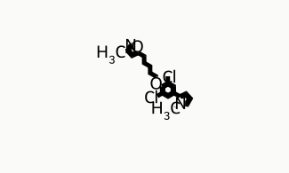 Cc1cc(CCCCCOc2c(Cl)cc(-c3cccn3C)cc2Cl)on1